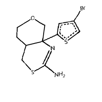 NC1=NC2(c3cc(Br)cs3)COCCC2CS1